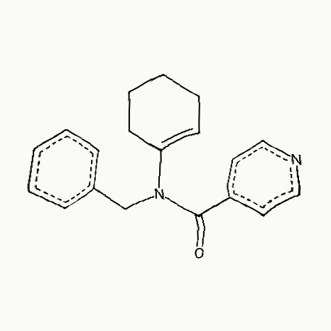 O=C(c1ccncc1)N(Cc1ccccc1)C1=CCCCC1